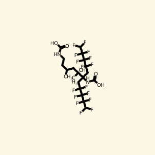 CC(CCNC(=O)O)CC(C)(C)C(CC(F)(F)C(F)(F)C(F)(F)C(F)F)(CC(F)(F)C(F)(F)C(F)(F)C(F)F)NC(=O)O